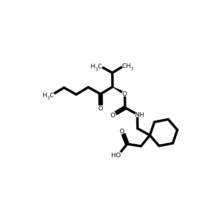 CCCCC(=O)[C@H](OC(=O)NCC1(CC(=O)O)CCCCC1)C(C)C